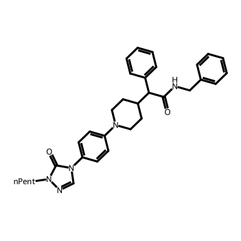 CCCCCn1ncn(-c2ccc(N3CCC(C(C(=O)NCc4ccccc4)c4ccccc4)CC3)cc2)c1=O